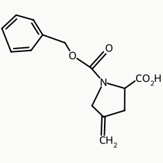 C=C1CC(C(=O)O)N(C(=O)OCc2ccccc2)C1